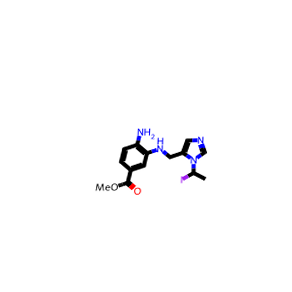 COC(=O)c1ccc(N)c(NCc2cncn2C(C)I)c1